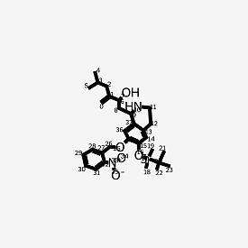 C=C(CC(C)C)C(O)CC1NCCc2cc(O[Si](C)(C)C(C)(C)C)c(OCc3ccccc3[N+](=O)[O-])cc21